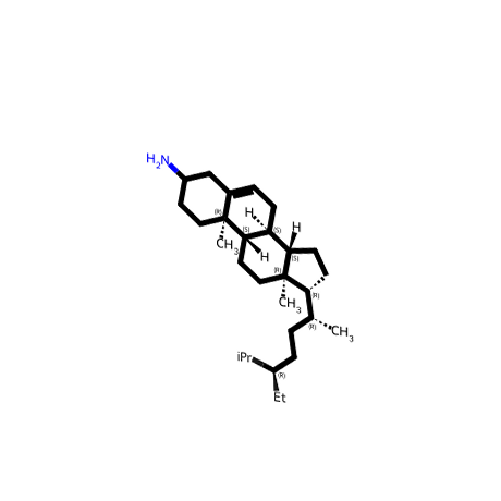 CC[C@H](CC[C@@H](C)[C@H]1CC[C@H]2[C@@H]3CC=C4CC(N)CC[C@]4(C)[C@H]3CC[C@]12C)C(C)C